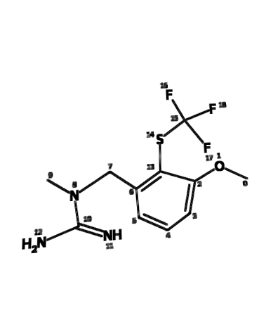 COc1cccc(CN(C)C(=N)N)c1SC(F)(F)F